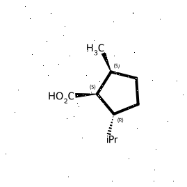 CC(C)[C@H]1CC[C@H](C)[C@@H]1C(=O)O